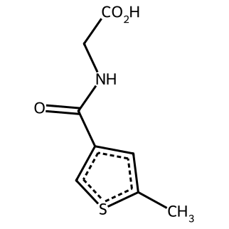 Cc1cc(C(=O)NCC(=O)O)cs1